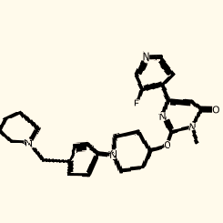 Cn1c(OC2CCN(c3ccc(CN4CCCCC4)cc3)CC2)nc(-c2ccncc2F)cc1=O